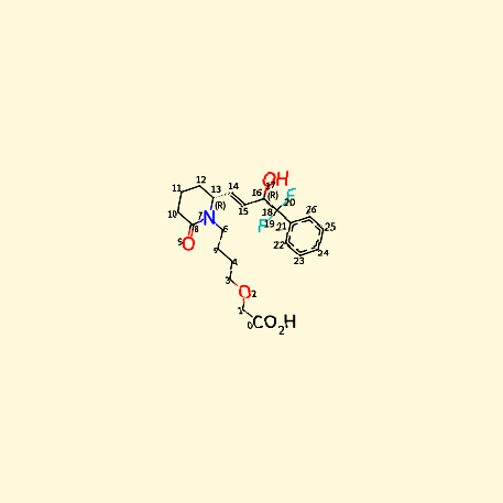 O=C(O)COCCCCN1C(=O)CCC[C@@H]1C=C[C@@H](O)C(F)(F)c1ccccc1